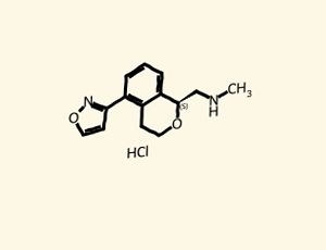 CNC[C@H]1OCCc2c(-c3ccon3)cccc21.Cl